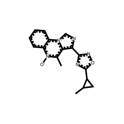 Cc1c2c(-c3noc(C4CC4C)n3)ncn2c2ccccc2[n+]1[O-]